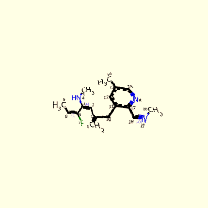 C=C(/C=C(NC)\C(F)=C/C)Cc1cc(C)cnc1/C=N\C